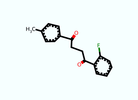 Cc1ccc(C(=O)CCC(=O)c2ccccc2F)cc1